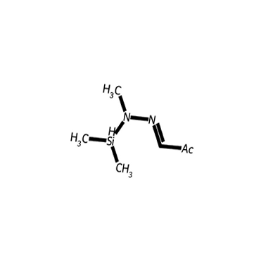 CC(=O)C=NN(C)[SiH](C)C